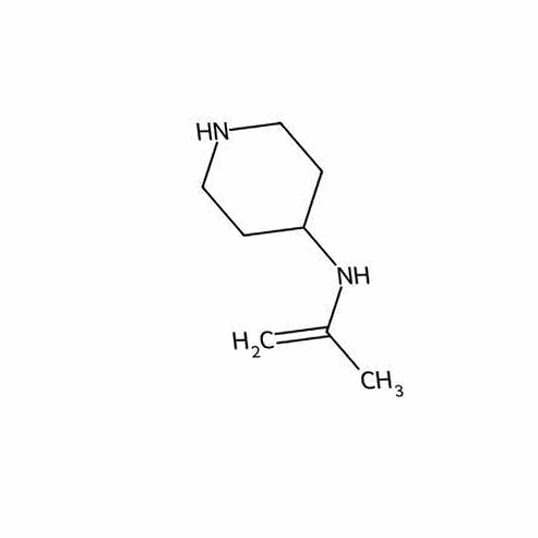 C=C(C)NC1CCNCC1